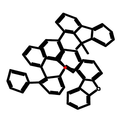 CC1(C)c2ccccc2-c2cccc(-c3cccc(N(c4cccc(-c5ccccc5)c4-c4ccccc4-c4ccccc4)c4cccc5oc6ccccc6c45)c3)c21